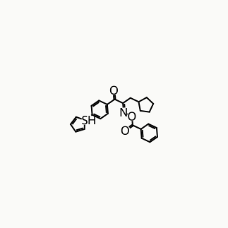 O=C(ON=C(CC1CCCC1)C(=O)c1ccc([SH]2C=CC=C2)cc1)c1ccccc1